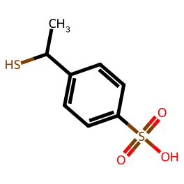 CC(S)c1ccc(S(=O)(=O)O)cc1